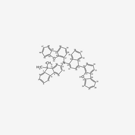 CC1(C)c2ccccc2-c2ccc(N(c3ccc(-c4cccc5c4oc4ccccc45)c4ccccc34)c3cccc4c3oc3ccccc34)cc21